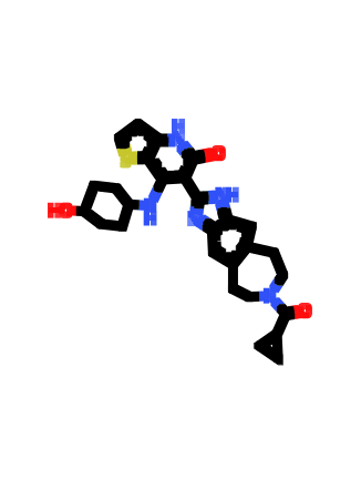 O=C(C1CC1)N1CCc2cc3nc(-c4c(NC5CCC(O)CC5)c5sccc5[nH]c4=O)[nH]c3cc2CC1